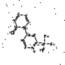 O=c1c[c]ccn1-c1ccnc(C(F)(F)F)c1